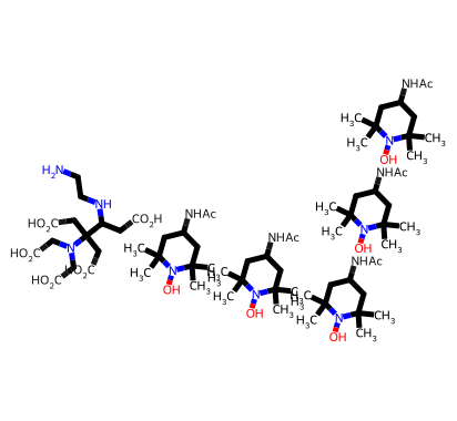 CC(=O)NC1CC(C)(C)N(O)C(C)(C)C1.CC(=O)NC1CC(C)(C)N(O)C(C)(C)C1.CC(=O)NC1CC(C)(C)N(O)C(C)(C)C1.CC(=O)NC1CC(C)(C)N(O)C(C)(C)C1.CC(=O)NC1CC(C)(C)N(O)C(C)(C)C1.NCCNC(CC(=O)O)C(CC(=O)O)(CC(=O)O)N(CC(=O)O)CC(=O)O